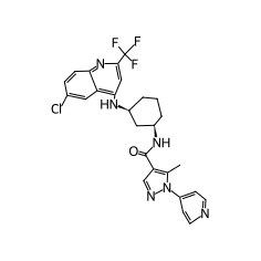 Cc1c(C(=O)N[C@@H]2CCC[C@H](Nc3cc(C(F)(F)F)nc4ccc(Cl)cc34)C2)cnn1-c1ccncc1